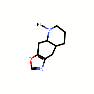 CCN1CCCC2Cc3ncoc3CC21